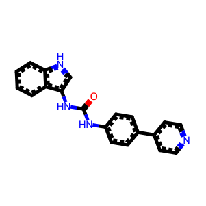 O=C(Nc1ccc(-c2ccncc2)cc1)Nc1c[nH]c2ccccc12